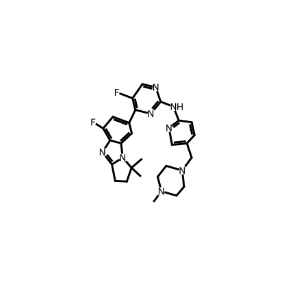 CN1CCN(Cc2ccc(Nc3ncc(F)c(-c4cc(F)c5nc6n(c5c4)C(C)(C)CC6)n3)nc2)CC1